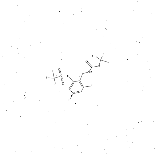 CC(C)(C)OC(=O)NCc1c(F)cc(F)cc1OS(=O)(=O)C(F)(F)F